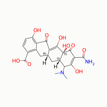 CN(C)C1C(O)=C(C(N)=O)C(=O)[C@@]2(O)C(O)=C3C(=O)c4c(O)ccc(C(=O)O)c4C[C@H]3C[C@@H]12